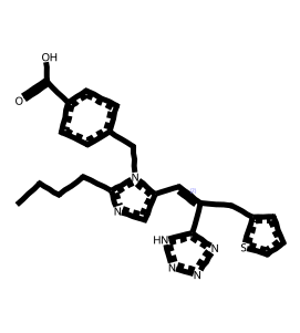 CCCCc1ncc(/C=C(/Cc2cccs2)c2nnn[nH]2)n1Cc1ccc(C(=O)O)cc1